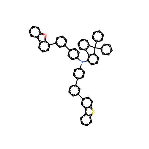 c1ccc(C2(c3ccccc3)c3ccccc3-c3c(N(c4ccc(-c5cccc(-c6ccc7sc8ccccc8c7c6)c5)cc4)c4ccc(-c5cccc(-c6cccc7c6oc6ccccc67)c5)cc4)cccc32)cc1